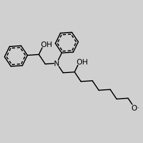 [O]CCCCCCC(O)CN(CC(O)c1ccccc1)c1ccccc1